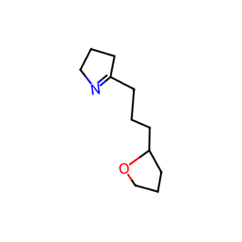 C1CN=C(CCCC2CCCO2)C1